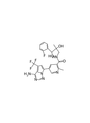 Cc1ncc(-c2cc(C(F)(F)F)c3c(N)ncnn23)cc1C(=O)NCC(C)(O)C(O)c1ccccc1F